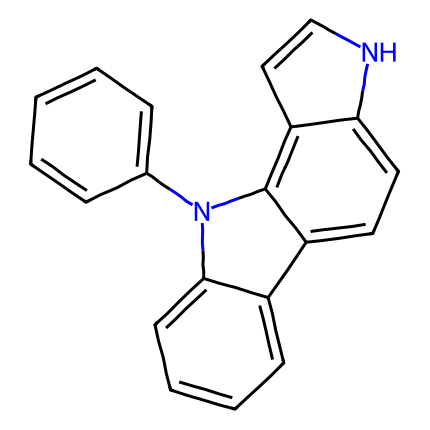 c1ccc(-n2c3ccccc3c3ccc4[nH]ccc4c32)cc1